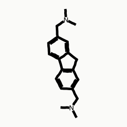 CN(C)Cc1ccc2c(c1)Cc1cc(CN(C)C)ccc1-2